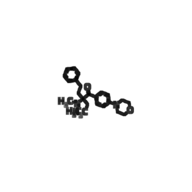 CCC(CCc1ccccc1)(C(=O)c1ccc(N2CCOCC2)cc1)N(C)C